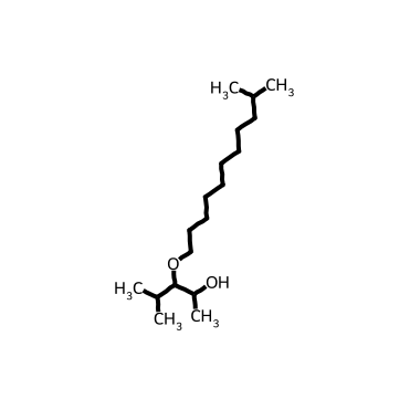 CC(C)CCCCCCCCCOC(C(C)C)C(C)O